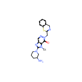 CCn1c(N2CCCC(N)C2)nc2cnn(CC3=NCc4ccccc4S3)c(=O)c21